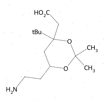 CC1(C)OC(CCN)CC(CC(=O)O)(C(C)(C)C)O1